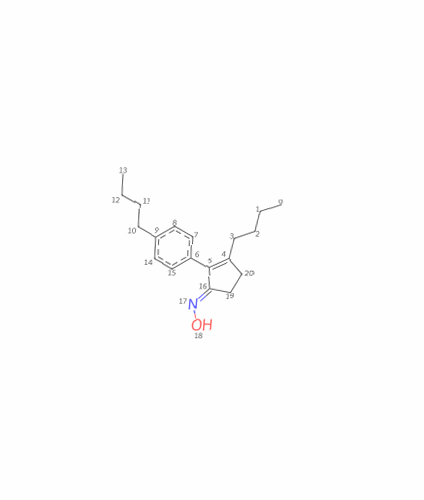 CCCCC1=C(c2ccc(CCCC)cc2)C(=NO)CC1